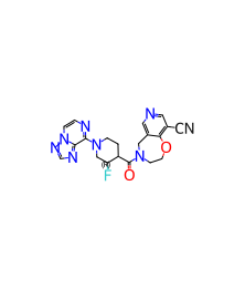 N#Cc1cncc2c1OCCN(C(=O)C1CCN(c3nccn4ncnc34)C[C@@H]1F)C2